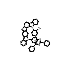 N#Cc1cc(-c2nc(-c3ccccc3)nc(-c3ccccc3)n2)ccc1-n1c2ccccc2c2ccc3oc4cc5c6ccccc6n(-c6ccccc6)c5cc4c3c21